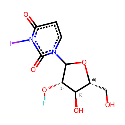 O=c1ccn(C2O[C@H](CO)[C@@H](O)[C@@H]2OF)c(=O)n1I